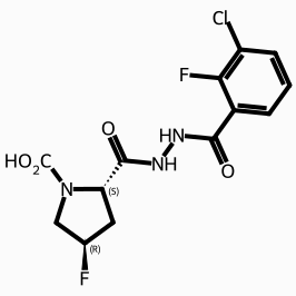 O=C(NNC(=O)[C@@H]1C[C@@H](F)CN1C(=O)O)c1cccc(Cl)c1F